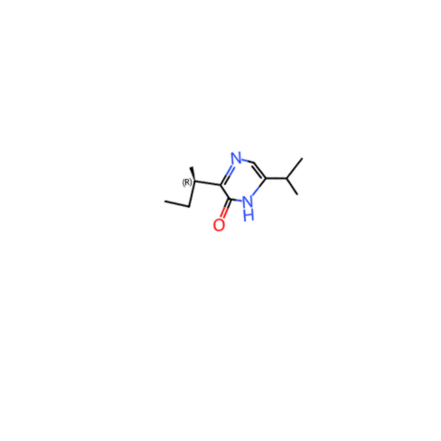 CC[C@@H](C)c1ncc(C(C)C)[nH]c1=O